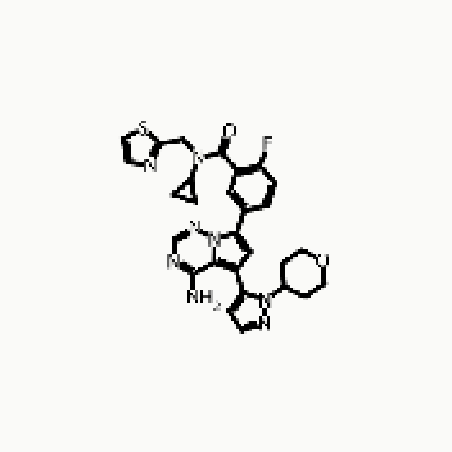 Nc1ncnn2c(-c3ccc(F)c(C(=O)N(Cc4nccs4)C4CC4)c3)cc(-c3ccnn3C3CCOCC3)c12